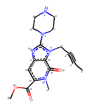 CC#CCn1c(N2CCNCC2)nc2cc(C(=O)OC)n(C)c(=O)c21